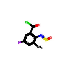 Cc1cc(I)cc(C(=O)Cl)c1N=S=O